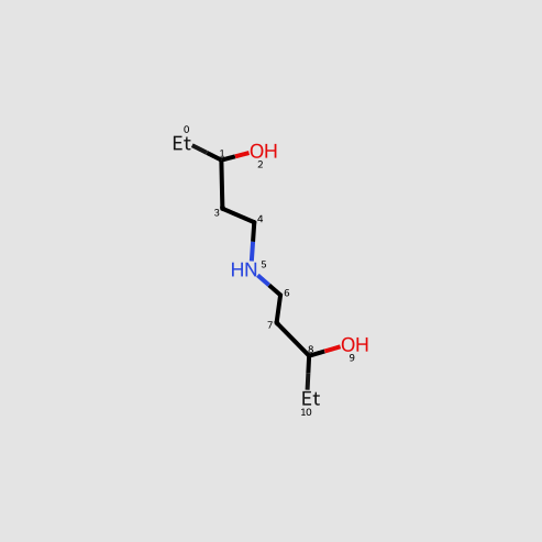 CCC(O)CCNCCC(O)CC